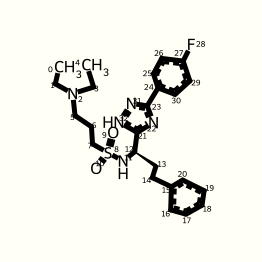 CCN(CC)CCCS(=O)(=O)N[C@H](CCc1ccccc1)c1nc(-c2ccc(F)cc2)n[nH]1